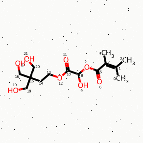 CC(C)=C(C)C(=O)OC(O)C(=O)OCCC(CO)(CO)CO